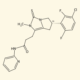 Cn1c(CCC(=O)Nc2ccccn2)c2n(c1=S)C[C@H](c1c(F)ccc(Cl)c1F)C2